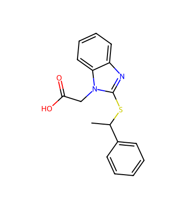 CC(Sc1nc2ccccc2n1CC(=O)O)c1ccccc1